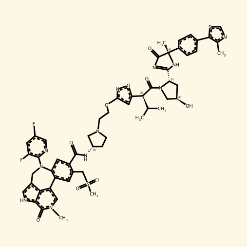 Cc1ncsc1-c1ccc([C@]2(C)NC([C@@H]3C[C@@H](O)CN3C(=O)[C@H](c3cc(OCCN4CC[C@H](NC(=O)c5cc6c(cc5CS(C)(=O)=O)-c5cn(C)c(=O)c7[nH]cc(c57)CN6c5ncc(F)cc5F)C4)no3)C(C)C)=NC2=O)cc1